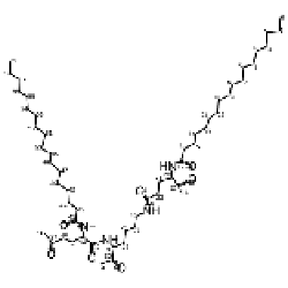 CCCCCCCCCCCCCCCCCC(=O)NC(CCC(=O)NCCCCC(NC(=O)C(CCC(C)=O)NC(=O)CCCCCCCCCCCCCCCCC)C(C)=O)C(C)=O